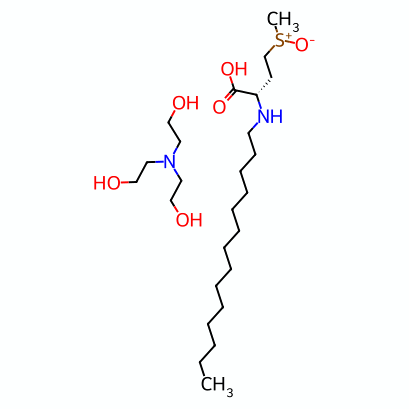 CCCCCCCCCCCCCCN[C@@H](CC[S+](C)[O-])C(=O)O.OCCN(CCO)CCO